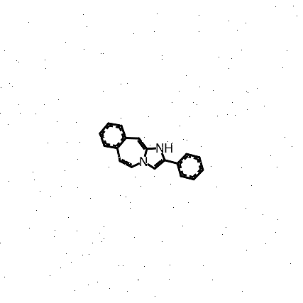 C1=CN2C=C(c3ccccc3)NC2=Cc2ccccc21